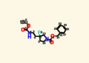 CC(C)(C)OC(=O)NCCC1(F)CCN(C(=O)OCc2ccccc2)C1